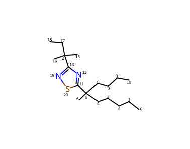 CCCCCC(C)(CCCC)c1nc(C(C)(C)CC)ns1